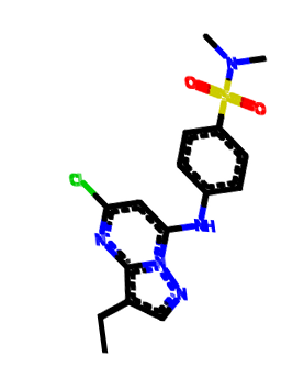 CCc1cnn2c(Nc3ccc(S(=O)(=O)N(C)C)cc3)cc(Cl)nc12